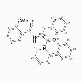 COc1ccccc1C(=O)N[C@H](Cc1ccccc1)C(=O)N1CC=CCC1c1cccnc1